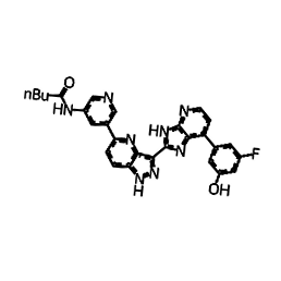 CCCCC(=O)Nc1cncc(-c2ccc3[nH]nc(-c4nc5c(-c6cc(O)cc(F)c6)ccnc5[nH]4)c3n2)c1